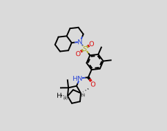 Cc1cc(C(=O)NC2C(C)(C)[C@@H]3CC[C@@]2(C)C3)cc(S(=O)(=O)N2CCCC3CCCCC32)c1C